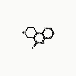 O=c1[nH]c2cccnc2c2c1CNCC2